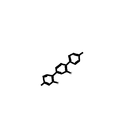 Cc1ccc(-c2ccc(-c3ccc(C)cc3F)cc2F)cc1